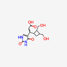 O=C(O)C=C(c1c[nH]c(=O)[nH]c1=O)C1CC(CO)C1CO